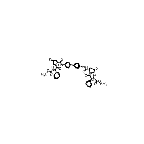 COC(=O)N[C@@H](C(=O)N1CC(=O)C[C@H]1C(=O)Nc1c#cc(-c2c#cc(NC(=O)[C@@H]3CC(=O)CN3C(=O)[C@H](NC(=O)OC)c3ccccc3)cc2)cc1)c1ccccc1